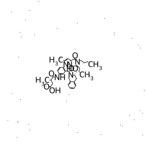 CCCCN(CCCC)C(=O)c1cc(C)n(-c2ccc(NC(=O)C(C)CC(=O)O)cc2C(=O)N2Cc3ccccc3C[C@H]2CO)n1